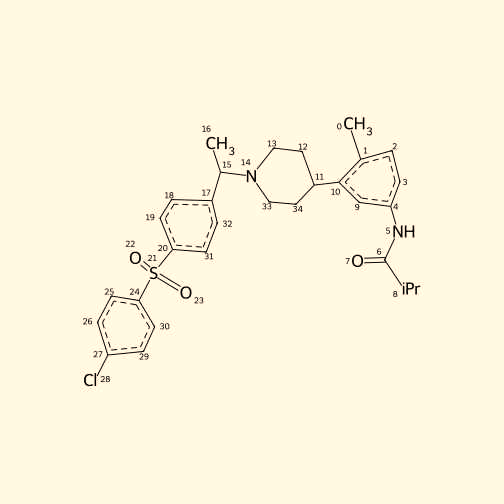 Cc1ccc(NC(=O)C(C)C)cc1C1CCN(C(C)c2ccc(S(=O)(=O)c3ccc(Cl)cc3)cc2)CC1